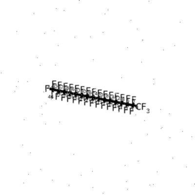 FC(F)(F)C(F)(F)C(F)(F)C(F)(F)C(F)(F)C(F)(F)C(F)(F)C(F)(F)C(F)(F)C(F)(F)C(F)(F)C(F)(F)C(F)(F)C(F)(F)C(F)(F)C(F)(F)I